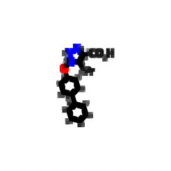 CC(C)c1c(C(=O)O)nnn1Oc1ccc(-c2ccccc2)cc1